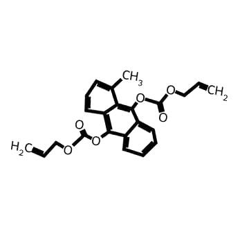 C=CCOC(=O)Oc1c2ccccc2c(OC(=O)OCC=C)c2c(C)cccc12